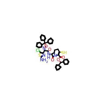 Nc1nc(/C(=N/OC(c2ccccc2)(c2ccccc2)c2ccccc2)C(=O)N[C@@H]2C(=O)N3C(C(=O)OC(c4ccccc4)c4ccccc4)=C(S)CCC23)c(Cl)s1